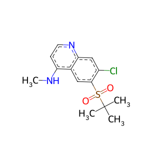 CNc1ccnc2cc(Cl)c(S(=O)(=O)C(C)(C)C)cc12